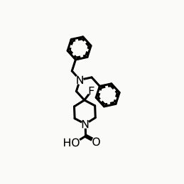 O=C(O)N1CCC(F)(CN(Cc2ccccc2)Cc2ccccc2)CC1